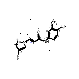 N#Cc1ccc(NC(=O)/C=C/n2cc(F)cn2)cc1C(F)(F)F